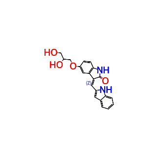 O=C1Nc2ccc(OCC(O)CO)cc2/C1=C/c1cc2ccccc2[nH]1